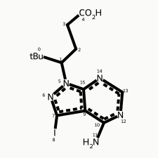 CC(C)(C)C(CCC(=O)O)n1nc(I)c2c(N)ncnc21